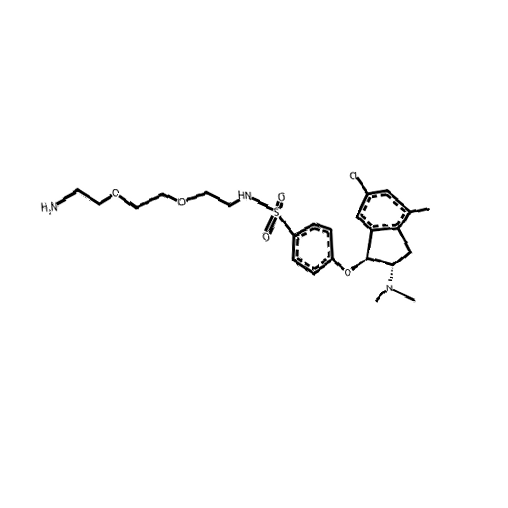 Cc1cc(Cl)cc2c1C[C@H](N(C)C)[C@H]2Oc1ccc(S(=O)(=O)NCCOCCOCCN)cc1